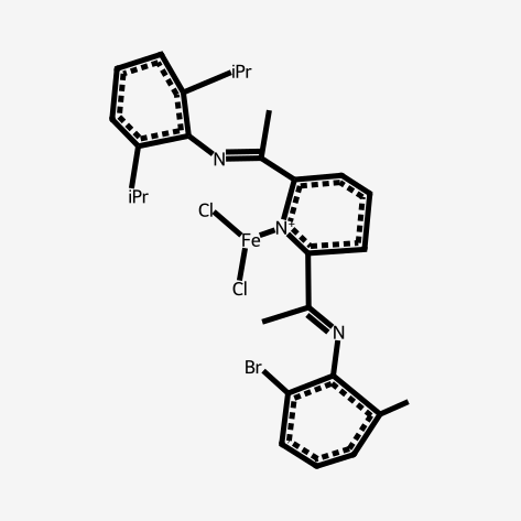 CC(=Nc1c(C)cccc1Br)c1cccc(C(C)=Nc2c(C(C)C)cccc2C(C)C)[n+]1[Fe]([Cl])[Cl]